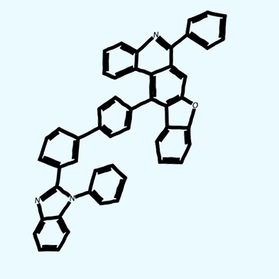 c1ccc(-c2nc3ccccc3c3c(-c4ccc(-c5cccc(-c6nc7ccccc7n6-c6ccccc6)c5)cc4)c4c(cc23)oc2ccccc24)cc1